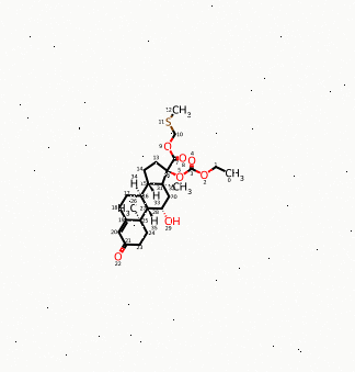 CCOC(=O)O[C@]1(C(=O)OCSC)CC[C@H]2[C@@H]3CCC4=CC(=O)CC[C@]4(C)[C@H]3[C@@H](O)C[C@@]21C